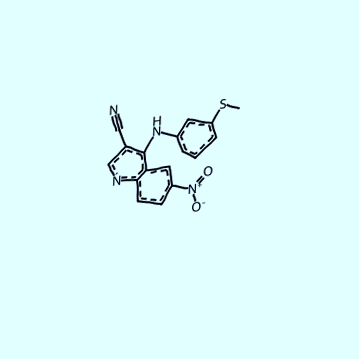 CSc1cccc(Nc2c(C#N)cnc3ccc([N+](=O)[O-])cc23)c1